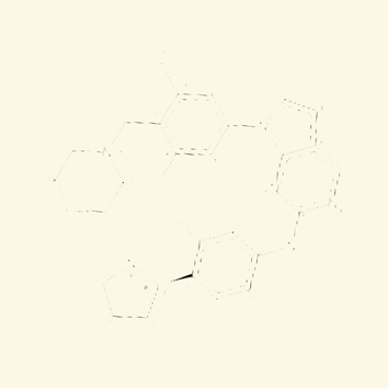 Cc1cc(Nc2ncc3ccn(-c4cc(F)c(CN5CCOCC5)c(F)c4)c3n2)ccc1[C@H]1CCCN1